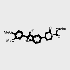 COc1ccc(-c2[nH]c3ccc(C4CCN(C(=O)OC(C)(C)C)C(=O)C4)cc3c2C(C)C)cc1OC